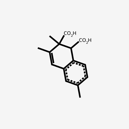 CC1=Cc2cc(C)ccc2C(C(=O)O)C1(C)C(=O)O